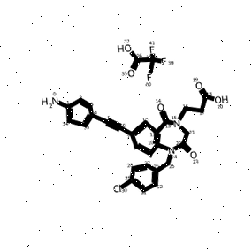 Nc1ccc(C#Cc2ccc3c(c2)C(=O)N(CCC(=O)O)CC(=O)N3Cc2ccc(Cl)cc2)cc1.O=C(O)C(F)(F)F